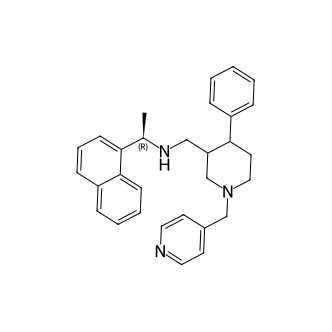 C[C@@H](NCC1CN(Cc2ccncc2)CCC1c1ccccc1)c1cccc2ccccc12